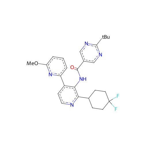 COc1cccc(-c2ccnc(C3CCC(F)(F)CC3)c2NC(=O)c2cnc(C(C)(C)C)nc2)n1